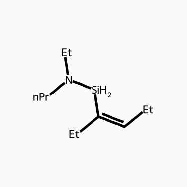 CCC=C(CC)[SiH2]N(CC)CCC